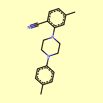 Cc1ccc(N2CCN(c3cc(C)ccc3C#N)CC2)cc1